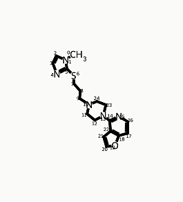 Cn1ccnc1SCCCN1CCN(c2nccc3occc23)CC1